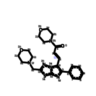 O=C(/C=C/c1c(-c2ccccc2)nc2sc(CN3CCOCC3)nn12)N1CCOCC1